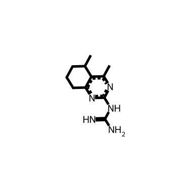 Cc1nc(NC(=N)N)nc2c1C(C)CCC2